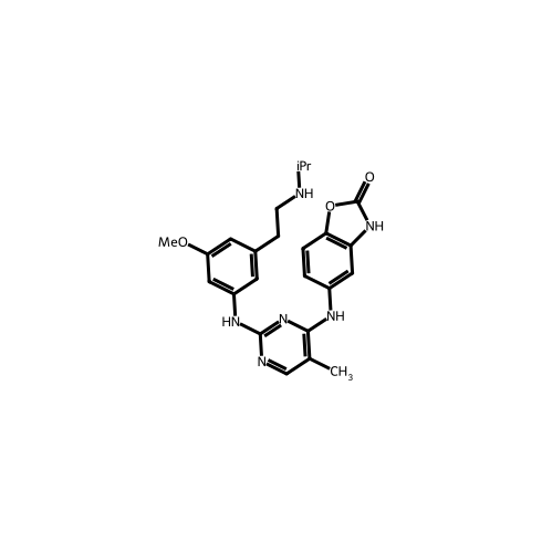 COc1cc(CCNC(C)C)cc(Nc2ncc(C)c(Nc3ccc4oc(=O)[nH]c4c3)n2)c1